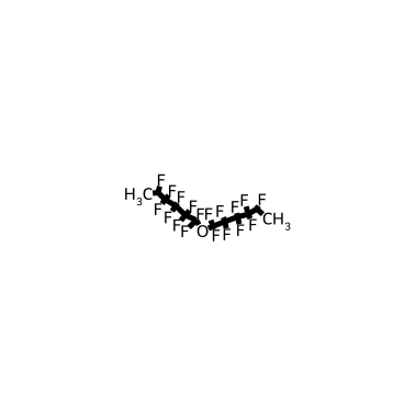 CC(F)C(F)(F)C(F)(F)C(F)(F)C(F)(F)OC(F)(F)C(F)(F)C(F)(F)C(F)(F)C(C)F